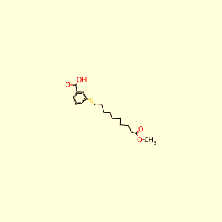 COC(=O)CCCCCCCCCSc1cccc(C(=O)O)c1